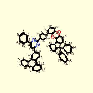 c1ccc(-c2cc(-c3ccc4c5ccccc5c5ccccc5c4c3)nc(-c3ccc(-c4cccc5c4Oc4c(ccc6c4-c4ccccc4C6(c4ccccc4)c4ccccc4)O5)cc3)n2)cc1